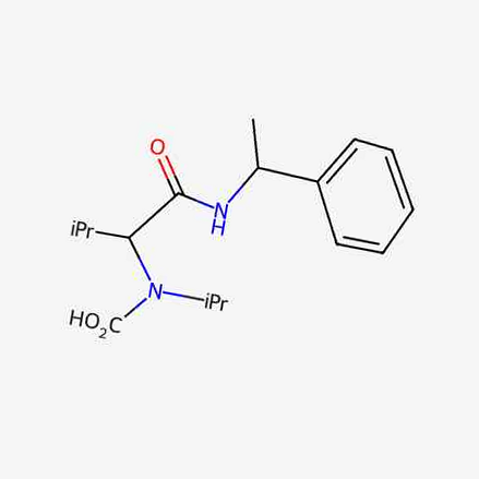 CC(NC(=O)C(C(C)C)N(C(=O)O)C(C)C)c1ccccc1